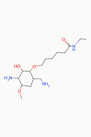 CCNC(=O)CCCCCOC1C(CN)CC(OC)C(N)C1O